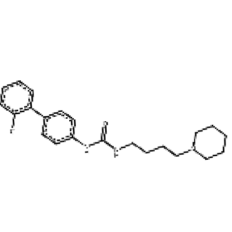 O=C(NCCCCN1CCCCC1)Nc1ccc(-c2ccccc2Cl)cc1